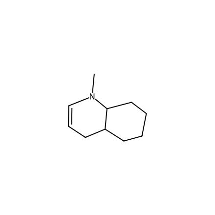 CN1C=CCC2CCCCC21